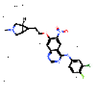 CN1CC2[C@H](CCOc3cc4ncnc(Nc5ccc(F)c(Cl)c5)c4cc3[N+](=O)[O-])[C@H]2C1